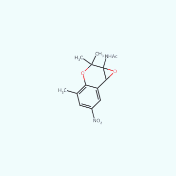 CC(=O)NC12OC1c1cc([N+](=O)[O-])cc(C)c1OC2(C)C